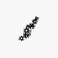 O=c1ccc(-c2ccccc2)nn1-c1ccc(/C=N\Nc2nc(-c3ccc(Br)cc3)cs2)cc1